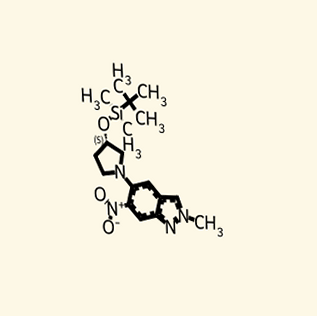 Cn1cc2cc(N3CC[C@H](O[Si](C)(C)C(C)(C)C)C3)c([N+](=O)[O-])cc2n1